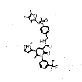 Cc1nc(N=S(C)(=O)c2ccc(CNC(=O)c3cc(-c4ccnn4C)c(C)n(-c4cccc(C(F)(F)F)c4)c3=O)cc2)oc1C